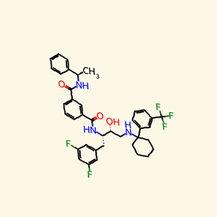 C[C@@H](NC(=O)c1cccc(C(=O)N[C@@H](Cc2cc(F)cc(F)c2)[C@H](O)CNC2(c3cccc(C(F)(F)F)c3)CCCCC2)c1)c1ccccc1